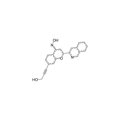 OCC#Cc1ccc2c(=NO)cc(-c3cc4ccccc4cn3)oc2c1